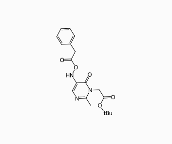 Cc1ncc(NOC(=O)Cc2ccccc2)c(=O)n1CC(=O)OC(C)(C)C